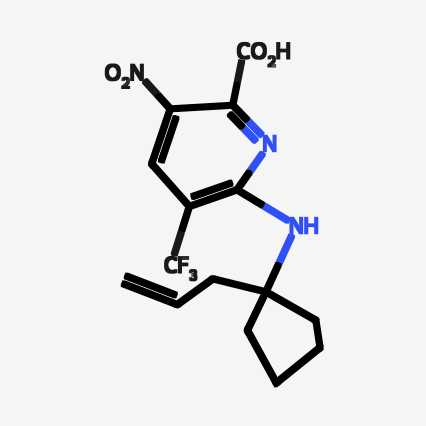 C=CCC1(Nc2nc(C(=O)O)c([N+](=O)[O-])cc2C(F)(F)F)CCCC1